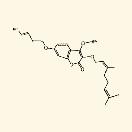 CCC=CCCOc1ccc2c(OC(C)C)c(OCC=C(C)CCC=C(C)C)c(=O)oc2c1